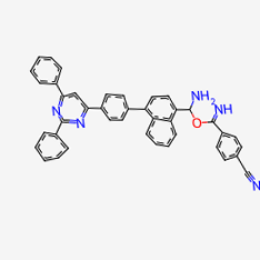 N#Cc1ccc(C(=N)OC(N)c2ccc(-c3ccc(-c4cc(-c5ccccc5)nc(-c5ccccc5)n4)cc3)c3ccccc23)cc1